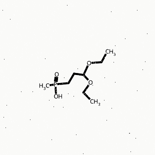 CCOC(CCP(C)(=O)O)OCC